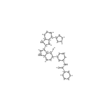 O=C(Nc1cncc(-c2cnc3[nH]nc(-c4nc5c(-c6ccsc6)nccc5[nH]4)c3c2F)c1)c1ccccc1